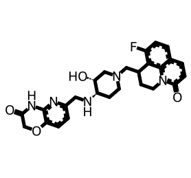 O=C1COc2ccc(CN[C@H]3CCN(CC4CCn5c(=O)ccc6ccc(F)c4c65)C[C@H]3O)nc2N1